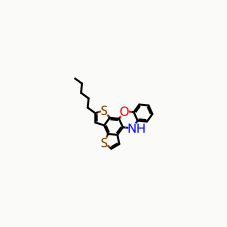 CCCCCc1cc2c(s1)c1c(c3ccsc32)Nc2ccccc2O1